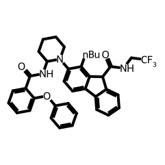 CCCCc1c(N2CCCCC2NC(=O)c2ccccc2Oc2ccccc2)ccc2c1C(C(=O)NCC(F)(F)F)c1ccccc1-2